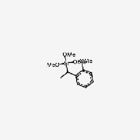 COc1ccccc1C(C)[Si](OC)(OC)OC